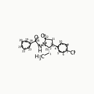 CC[C@H]1[C@H](c2ccc(Cl)cc2)CC(=O)N1NC(=O)c1ccccc1